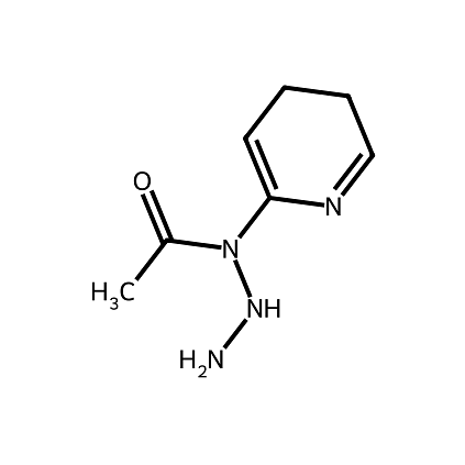 CC(=O)N(NN)C1=CCCC=N1